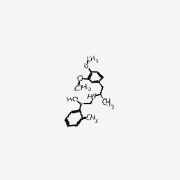 COc1ccc(C[C@@H](C)NC[C@H](O)c2ccccc2C)cc1OC